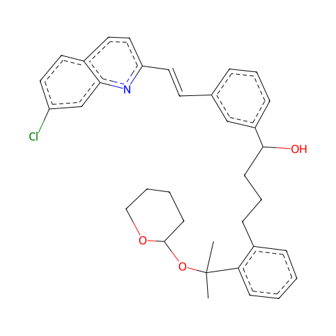 CC(C)(OC1CCCCO1)c1ccccc1CCCC(O)c1cccc(C=Cc2ccc3ccc(Cl)cc3n2)c1